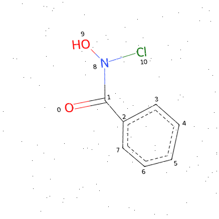 O=C(c1ccccc1)N(O)Cl